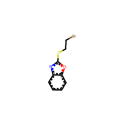 BrCCSc1nc2ccccc2o1